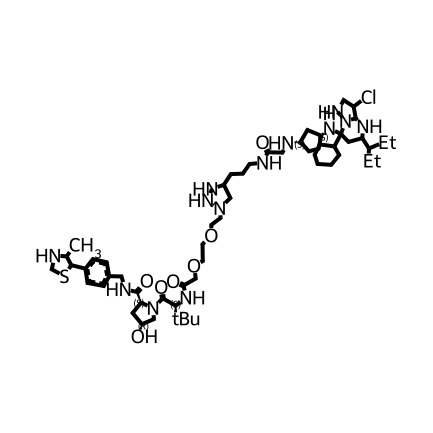 CCC(CC)C1CC(N[C@H]2CC[C@H](NCC(=O)NCCCC3CN(CCOCCOCC(=O)N[C@H](C(=O)N4C[C@H](O)C[C@H]4C(=O)NCc4ccc(C5SCNC5C)cc4)C(C)(C)C)NN3)C2)(C2CCCCC2)N2NCC(Cl)C2N1